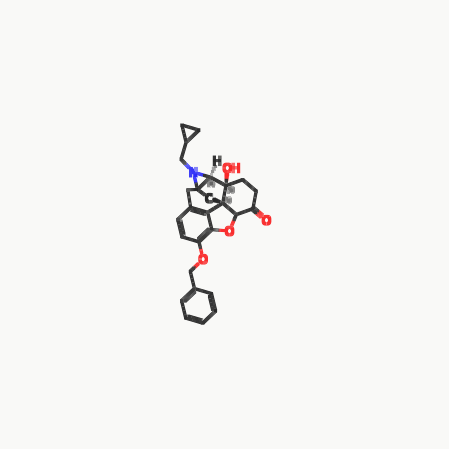 O=C1CC[C@@]2(O)[C@@H]3N(CC4CC4)C34Cc3ccc(OCc5ccccc5)c5c3[C@@]2(C4)C1O5